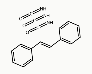 C(=Cc1ccccc1)c1ccccc1.N=C=O.N=C=O.N=C=O